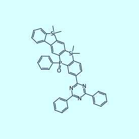 C[Si]1(C)c2ccccc2-c2cc3c(cc21)[Si](C)(C)c1ccc(-c2nc(-c4ccccc4)nc(-c4ccccc4)n2)cc1P3(=O)c1ccccc1